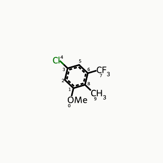 COc1cc(Cl)cc(C(F)(F)F)c1C